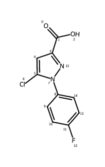 O=C(O)c1cc(Cl)n(-c2ccc(F)cc2)n1